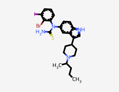 CCCC(C)N1CCC(c2c[nH]c3ccc(N(C(N)=S)c4cccc(I)c4Br)cc23)CC1